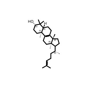 CC(C)=CCC[C@@H](C)C1CC[C@@]2(C)C3=C(CC[C@]12C)[C@@]1(C)CC[C@H](O)C(C)(C)[C@@H]1CC3